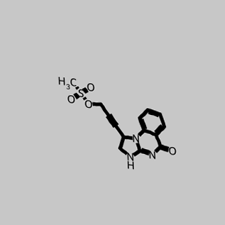 CS(=O)(=O)OCC#CC1CNc2nc(=O)c3ccccc3n21